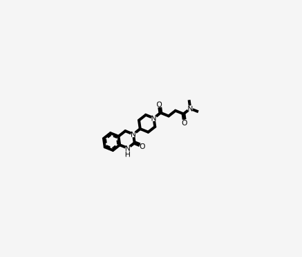 CN(C)C(=O)CCC(=O)N1CCC(N2Cc3ccccc3NC2=O)CC1